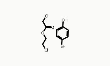 O=C(CCl)OCCCl.Oc1ccc(S)cc1